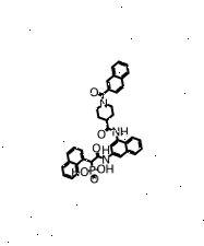 O=C(Nc1cc(NC(=O)C(c2cccc3ccccc23)P(=O)(O)O)cc2ccccc12)C1CCN(C(=O)c2ccc3ccccc3c2)CC1